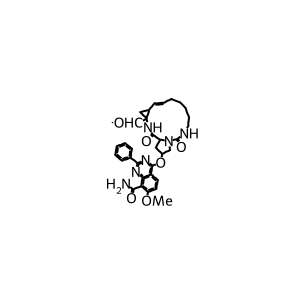 COc1ccc2c(OC3CC4C(=O)NC5([C]=O)CC5/C=C/CCCCCNC(=O)N4C3)nc(-c3ccccc3)nc2c1C(N)=O